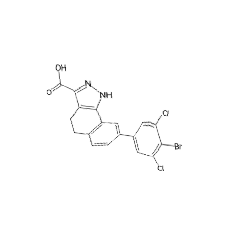 O=C(O)c1n[nH]c2c1CCc1ccc(-c3cc(Cl)c(Br)c(Cl)c3)cc1-2